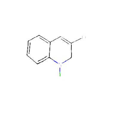 CCC1=Cc2ccccc2N(Cl)C1